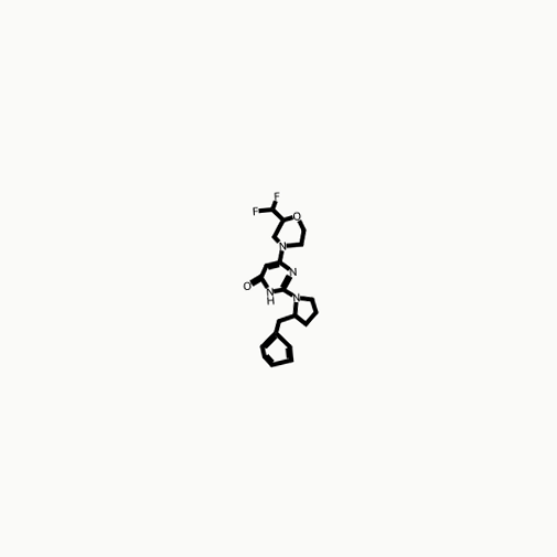 O=c1cc(N2CCOC(C(F)F)C2)nc(N2CCCC2Cc2ccccc2)[nH]1